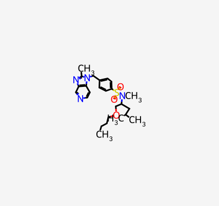 CCCCOCC(CC(C)C)N(C)S(=O)(=O)c1ccc(Cn2c(C)nc3cnccc32)cc1